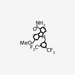 COCc1c[c]c2c3c(C(N)=O)cccc3n(Cc3cc(C(F)(F)F)cc(C(F)(F)F)c3)c2c1